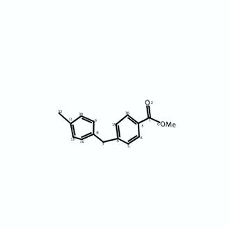 COC(=O)c1ccc(Cc2ccc(C)cc2)cc1